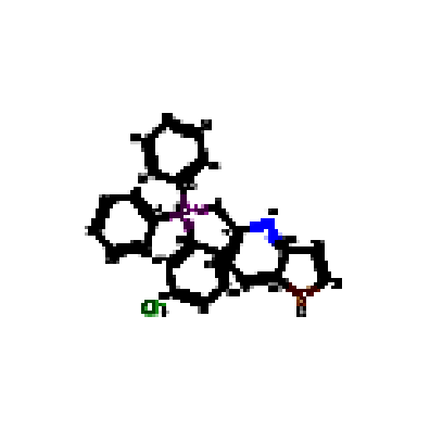 [Cl-].c1ccc([P+](Cc2ccc3sccc3n2)(c2ccccc2)c2ccccc2)cc1